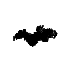 CCCCCc1c2c(nc3cc4c(c(NC(=O)OCc5ccc(O[C@H]6O[C@H](CO)[C@@H](O)[C@H](O)[C@@H]6O)c(NC(=O)CCN)c5)c13)OCO4)-c1cc3c(c(=O)n1C2)COC(=O)[C@@]3(C)O